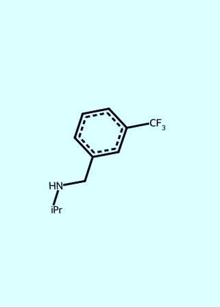 CC(C)NCc1cccc(C(F)(F)F)c1